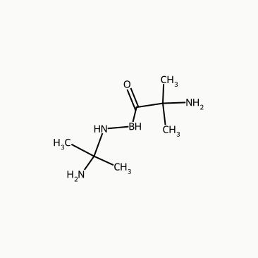 CC(C)(N)NBC(=O)C(C)(C)N